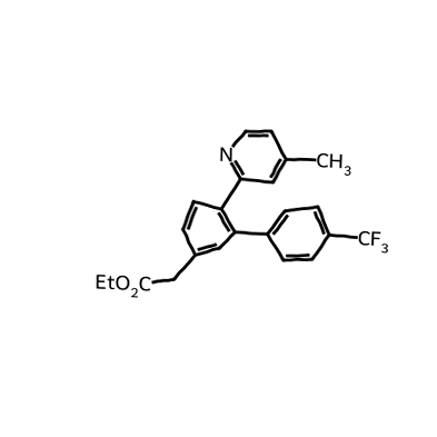 CCOC(=O)Cc1ccc(-c2cc(C)ccn2)c(-c2ccc(C(F)(F)F)cc2)c1